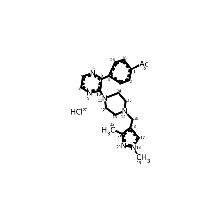 CC(=O)c1ccc(-c2nccnc2N2CCN(Cc3cn(C)nc3C)CC2)cc1.Cl